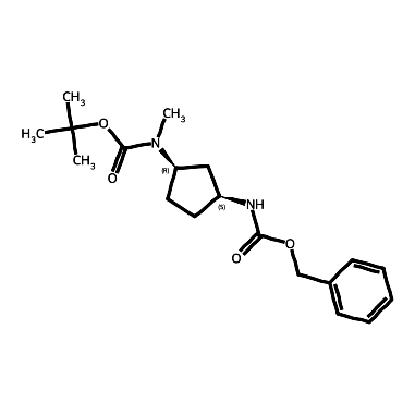 CN(C(=O)OC(C)(C)C)[C@@H]1CC[C@H](NC(=O)OCc2ccccc2)C1